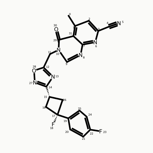 Cc1cc(C#N)nc2ncn(Cc3nc([C@H]4C[C@](F)(c5ccc(F)cc5)C4)no3)c(=O)c12